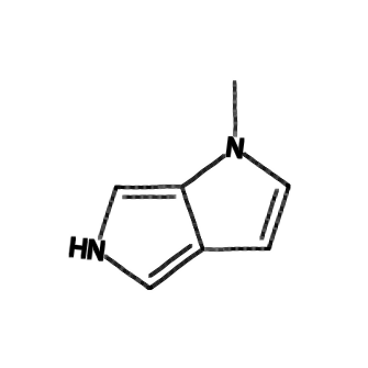 Cn1ccc2c[nH]cc21